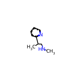 CNCC(C)c1ccccn1